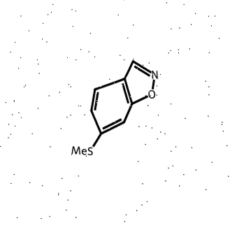 CSc1ccc2cnoc2c1